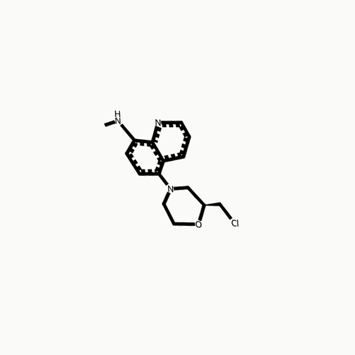 CNc1ccc(N2CCO[C@H](CCl)C2)c2cccnc12